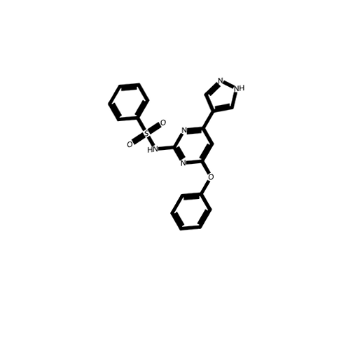 O=S(=O)(Nc1nc(Oc2ccccc2)cc(-c2cn[nH]c2)n1)c1ccccc1